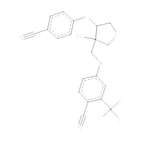 N#Cc1ccc(OC2COCC2(O)CNc2ccc(C#N)c(C(F)(F)F)c2)cc1